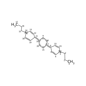 CCCN1C=CC(=c2ccc(=C3C=CN(CCC)C=C3)cc2)C=C1